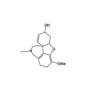 COC1=C2OC3CC(O)C=CC34CCN(C)CC(=C24)CC1